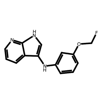 FCOc1cccc(Nc2c[nH]c3ncccc23)c1